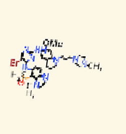 COc1cc2c(cc1Nc1ncc(Br)c(Nc3ccc4nccnc4c3P(C)(C)=O)n1)CCCN2CCCN1CCN(C)CC1